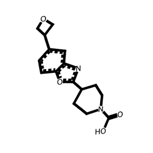 O=C(O)N1CCC(c2nc3cc(C4COC4)ccc3o2)CC1